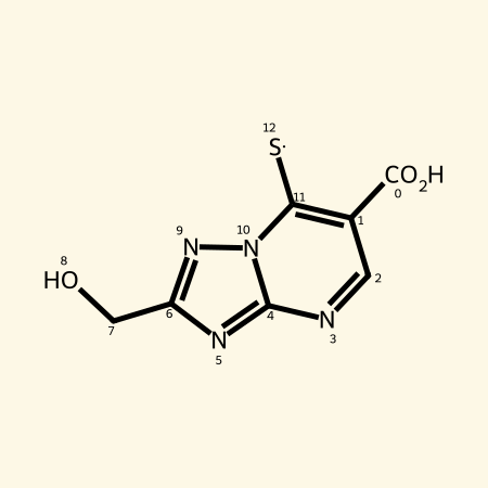 O=C(O)c1cnc2nc(CO)nn2c1[S]